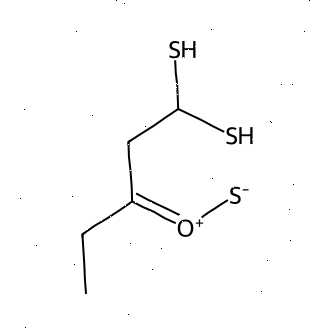 CCC(CC(S)S)=[O+][S-]